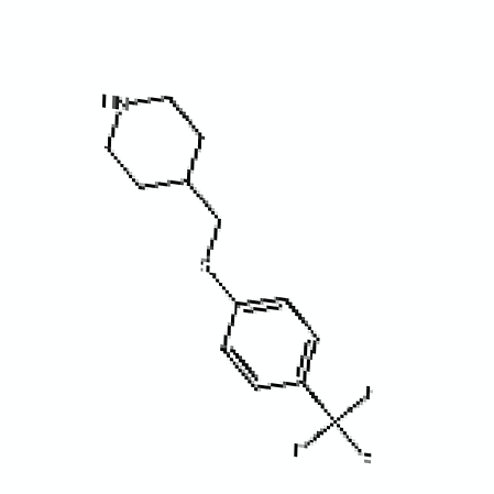 FC(F)(F)c1ccc(SCC2CCNCC2)cc1